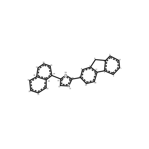 c1ccc2c(c1)Cc1cc(-c3ncc(-c4cccc5ccccc45)o3)ccc1-2